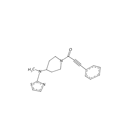 CN(c1nccs1)C1CCN(C(=O)C#Cc2ccccc2)CC1